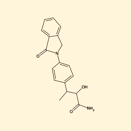 CC(c1ccc(N2Cc3ccccc3C2=O)cc1)C(O)C(N)=O